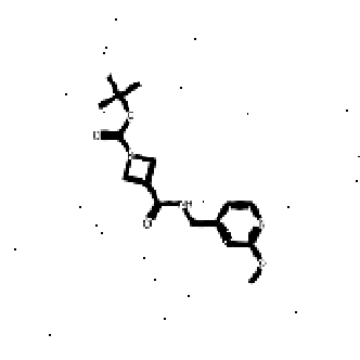 COc1cc(CNC(=O)C2CN(C(=O)OC(C)(C)C)C2)ccn1